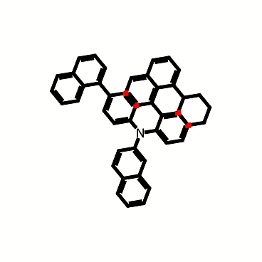 c1ccc(N(c2ccc(-c3cccc4ccccc34)cc2)c2ccc3ccccc3c2)c(-c2cccc3cccc(C4CCCCC4)c23)c1